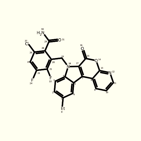 CCc1ccc2c(c1)c1c3cccnc3oc(=O)c1n2Cc1c(F)c(F)cc(Cl)c1C(N)=O